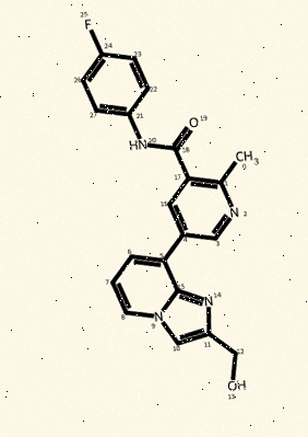 Cc1ncc(-c2cccn3cc(CO)nc23)cc1C(=O)Nc1ccc(F)cc1